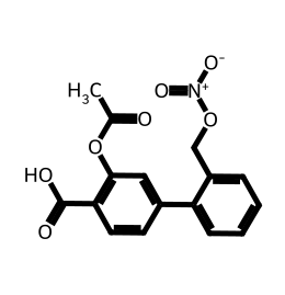 CC(=O)Oc1cc(-c2ccccc2CO[N+](=O)[O-])ccc1C(=O)O